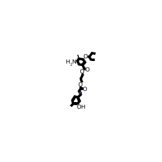 CCC(CC)O[C@@H]1C=C(C(=O)OCCCOC(=O)/C=C/c2ccc(C)c(O)c2)C[C@H](N)[C@H]1C